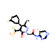 CC(C)c1nn(CC(=O)Nc2ncncc2F)c(=O)c(C(F)P)c1-c1cccc(F)c1